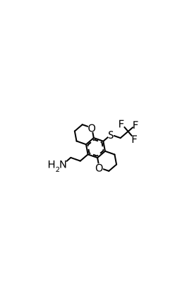 NCCc1c2c(c(SCC(F)(F)F)c3c1OCCC3)OCCC2